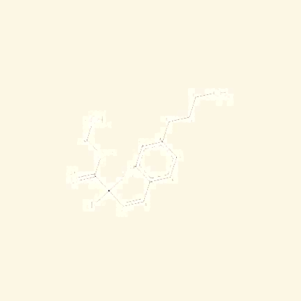 CCCCc1ccc(/C=C\C(F)(F)C(=O)OCC)cc1